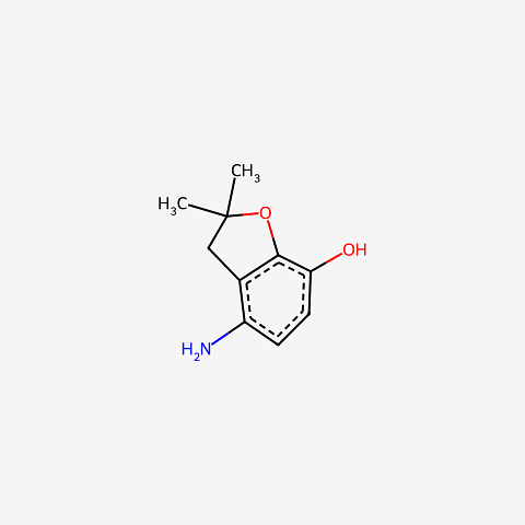 CC1(C)Cc2c(N)ccc(O)c2O1